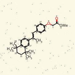 COC(=O)COc1ccc(C=C(C)c2ccc3c(c2)C(C)(C)CCC3(C)C)cc1